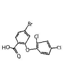 O=C(O)c1ccc(Br)cc1Oc1ccc(Cl)cc1Cl